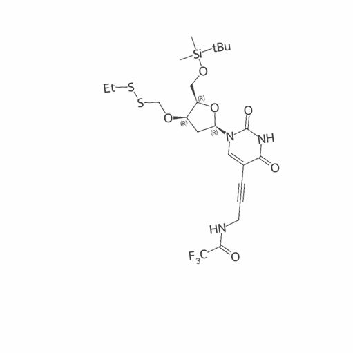 CCSSCO[C@@H]1C[C@H](n2cc(C#CCNC(=O)C(F)(F)F)c(=O)[nH]c2=O)O[C@@H]1CO[Si](C)(C)C(C)(C)C